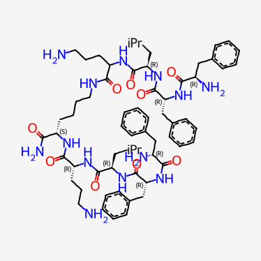 CC(C)C[C@@H](NC(=O)[C@@H](Cc1ccccc1)NC(=O)[C@H](N)Cc1ccccc1)C(=O)NC(CCCN)C(=O)NCCCC[C@H](NC(=O)[C@@H](CCCN)NC(=O)[C@@H](CC(C)C)NC(=O)[C@@H](Cc1ccccc1)NC(=O)[C@H](N)Cc1ccccc1)C(N)=O